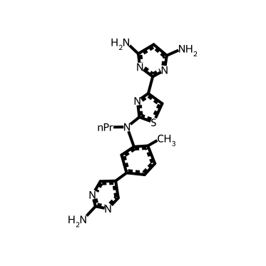 CCCN(c1nc(-c2nc(N)cc(N)n2)cs1)c1cc(-c2cnc(N)nc2)ccc1C